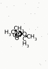 CC(C)OC1CN(C(C)C)S(=O)(=O)C1